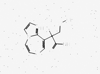 COCC(N)(C(N)=O)C1=COC=Cn2ccnc21